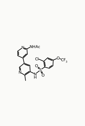 CC(=O)Nc1cc(-c2cnc(C)c(NS(=O)(=O)c3ccc(OC(F)(F)F)cc3Cl)c2)ccn1